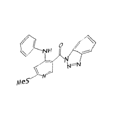 CSc1cc(Nc2ccccc2)c(C(=O)n2nnc3ccccc32)cn1